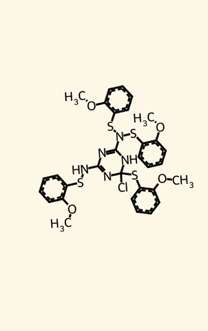 COc1ccccc1SNC1=NC(Cl)(Sc2ccccc2OC)NC(N(Sc2ccccc2OC)Sc2ccccc2OC)=N1